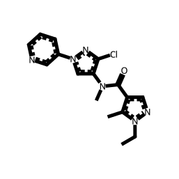 CCn1ncc(C(=O)N(C)c2cn(-c3cccnc3)nc2Cl)c1C